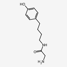 NCC(=O)NCCCCc1ccc(O)cc1